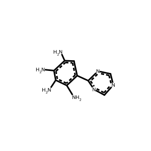 Nc1cc(-c2ncncn2)c(N)c(N)c1N